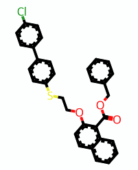 O=C(OCc1ccccc1)c1c(OCCSc2ccc(-c3ccc(Cl)cc3)cc2)ccc2ccccc12